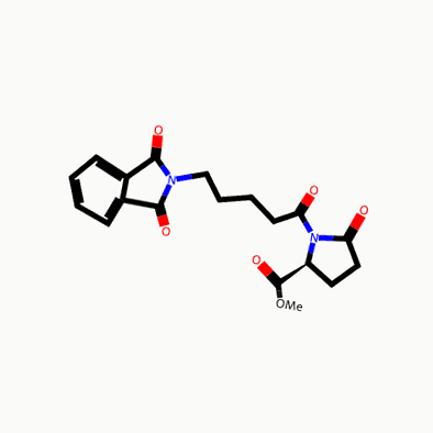 COC(=O)[C@@H]1CCC(=O)N1C(=O)CCCCN1C(=O)c2ccccc2C1=O